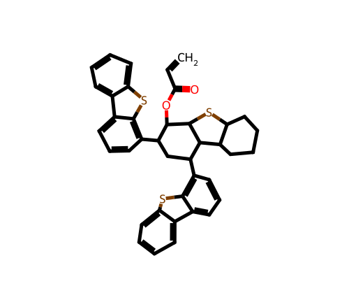 C=CC(=O)OC1C(c2cccc3c2sc2ccccc23)CC(c2cccc3c2sc2ccccc23)C2C3CCCCC3SC12